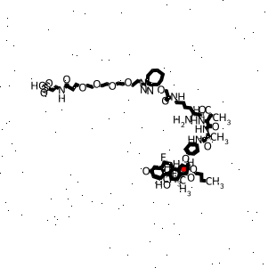 CCCC1O[C@@H]2C[C@H]3[C@@H]4C[C@H](F)C5=CC(=O)C=C[C@]5(C)[C@@]4(F)[C@@H](O)C[C@]3(C)[C@]2(C(=O)COc2ccc(NC(=O)[C@H](C)NC(=O)C(NC(=O)[C@H](N)CCCCNC(=O)COC3CCCCCc4c3nnn4CCOCCOCCOCCOCCC(=O)NCCS(=O)(=O)O)C(C)C)cc2)O1